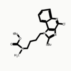 CCCCc1nc2c(Cl)nc3ccccc3c2n1CCCCN(C)C(=O)OC(C)(C)C